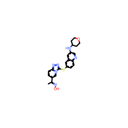 CC(=NO)c1ccc2nnc(Sc3ccc4ncc(NC5CCOCC5)cc4c3)n2c1